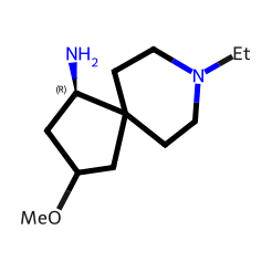 CCN1CCC2(CC1)CC(OC)C[C@H]2N